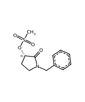 CS(=O)(=O)O[C@H]1CCN(Cc2ccccc2)C1=O